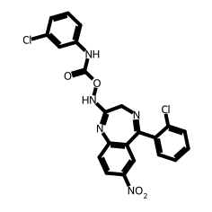 O=C(Nc1cccc(Cl)c1)ONC1=Nc2ccc([N+](=O)[O-])cc2C(c2ccccc2Cl)=NC1